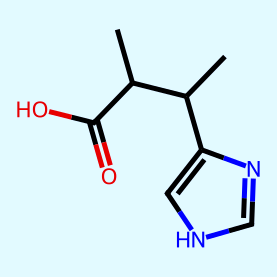 CC(C(=O)O)C(C)c1c[nH]cn1